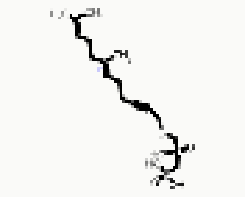 CC(C)=CCC/C(C)=C/CCC#CCOCP(=O)(O)CP(=O)(O)O